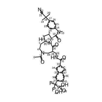 CC(=O)N1CC[C@H]2CC[C@@H](C(=O)N(C)c3ccc(C(C)(C)C#N)cc3)N2C(=O)C(CNC(=O)c2cc3cc(C(F)(F)P(=O)(O)O)ccc3s2)C1